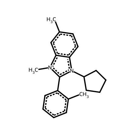 Cc1ccc2c(c1)[n+](C)c(-c1ccccc1C)n2C1CCCC1